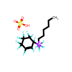 CCCCCC[I+](F)(F)(F)(F)C1(F)C(F)=C(F)C(F)(F)C(F)(F)C1(F)F.O=S(=O)([O-])O